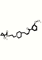 O=C(/C=C\CC1CCN(CCNC(=O)C2(C(F)(F)F)CC2)CC1)c1cccc(OC(F)(F)F)c1